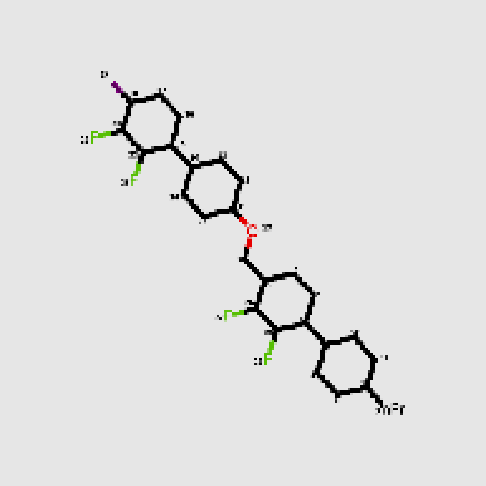 CCCC1CCC(C2CCC(COC3CCC(C4CCC(I)C(F)C4F)CC3)C(F)C2F)CC1